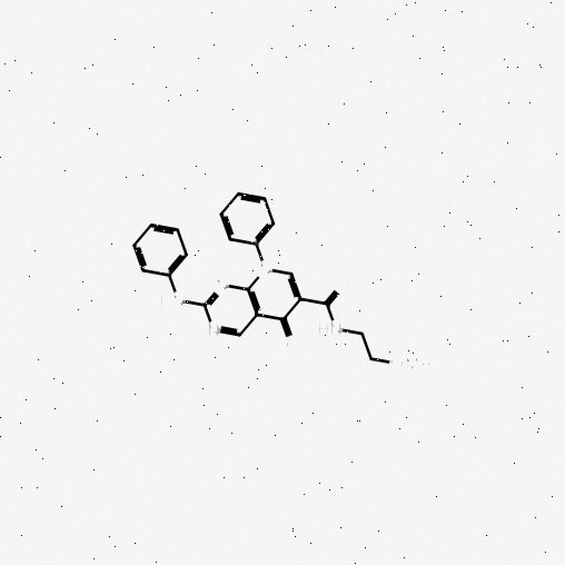 COCCNC(=O)c1cn(-c2ccccc2)c2nc(Nc3ccccc3)ncc2c1=O